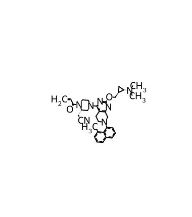 C=CC(=O)N1CCN(c2nc(OC[C@H]3C[C@@H]3N(C)C)nc3c2CCN(c2cccc4cccc(C)c24)C3)C[C@@H]1CC#N